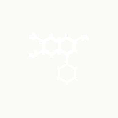 Cc1cc(C2CCCCC2)c2cc(C)c(C)cc2c1